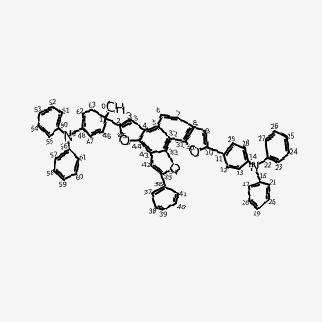 CC1(c2cc3c4ccc5cc(-c6ccc(N(c7ccccc7)c7ccccc7)cc6)oc5c4c4oc(-c5ccccc5)cc4c3o2)C=CC(N(c2ccccc2)c2ccccc2)=CC1